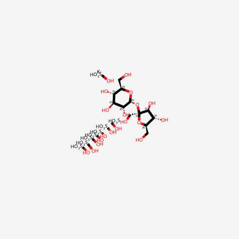 O=S(=O)(O)O.O=S(=O)(O)O.O=S(=O)(O)O.O=S(=O)(O)O.O=S(=O)(O)O.O=S(=O)(O)O.O=S(=O)(O)O.O=S(=O)(O)O.OC[C@H]1O[C@@](CO)(O[C@H]2O[C@H](CO)[C@@H](O)[C@H](O)[C@H]2O)[C@@H](O)[C@@H]1O.[K]